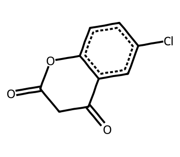 O=C1CC(=O)c2cc(Cl)ccc2O1